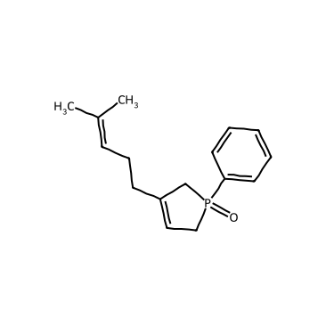 CC(C)=CCCC1=CCP(=O)(c2ccccc2)C1